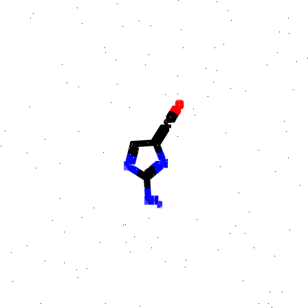 NC1=NC(=C=O)C=N1